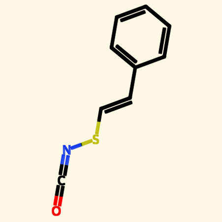 O=C=NSC=Cc1ccccc1